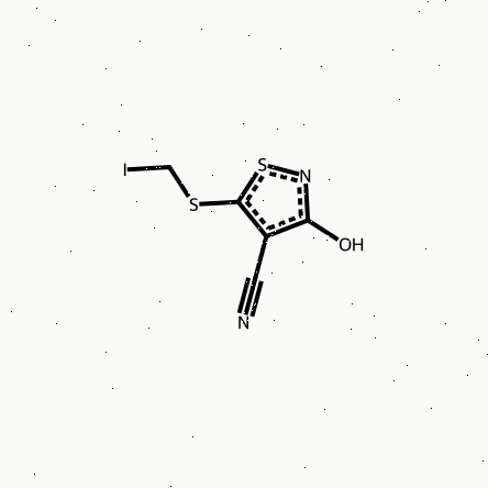 N#Cc1c(O)nsc1SCI